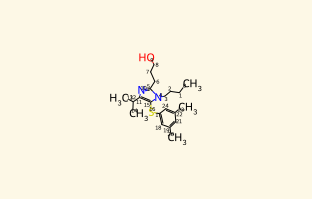 CCCCn1c(CCCO)nc(C(C)C)c1Sc1cc(C)cc(C)c1